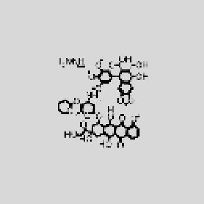 CCNN.COc1cc([C@@H]2c3cc4c(cc3[C@H](O)[C@@H](CO)[C@@H]2C(=O)O)OCO4)cc(OC)c1OC.COc1cccc2c1C(=O)c1c(O)c3c(c(O)c1C2=O)C[C@@](O)(C(=O)CO)CC3O[C@H]1C[C@H](N)[C@H](O[C@@H]2CCCCO2)[C@H](C)O1